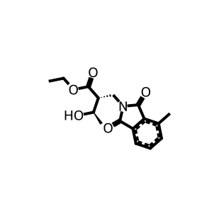 CCOC(=O)[C@H](CN1C(=O)c2cccc(C)c2C1=O)[C@@H](C)O